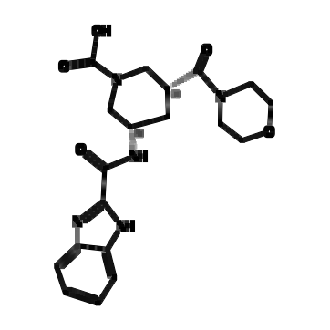 O=C(N[C@H]1C[C@@H](C(=O)N2CCOCC2)CN(C(=O)O)C1)c1nc2ccccc2[nH]1